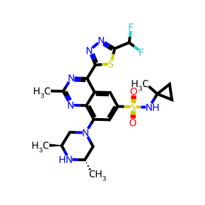 Cc1nc(-c2nnc(C(F)F)s2)c2cc(S(=O)(=O)NC3(C)CC3)cc(N3C[C@H](C)N[C@@H](C)C3)c2n1